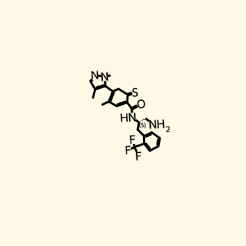 CC1=C(c2c(C)cnn2C)CC(=S)C(C(=O)N[C@H](CN)Cc2ccccc2C(F)(F)F)=C1